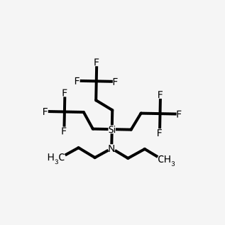 CCCN(CCC)[Si](CCC(F)(F)F)(CCC(F)(F)F)CCC(F)(F)F